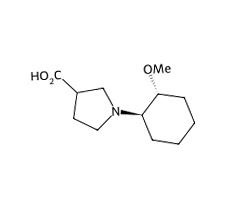 CO[C@@H]1CCCC[C@H]1N1CCC(C(=O)O)C1